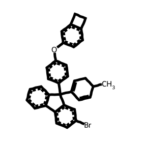 CC1C=CC(C2(c3ccc(Oc4ccc5c(c4)CC5)cc3)c3ccccc3-c3ccc(Br)cc32)=CC1